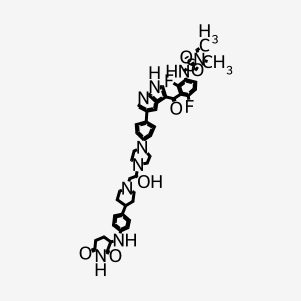 CCN(C)S(=O)(=O)Nc1ccc(F)c(C(=O)c2c[nH]c3ncc(-c4ccc(N5CCN(C(O)CN6CCC(c7ccc(NC8CCC(=O)NC8=O)cc7)CC6)CC5)cc4)cc23)c1F